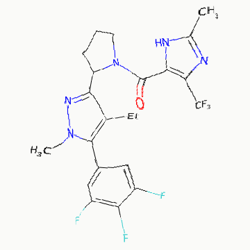 CCc1c(C2CCCN2C(=O)c2[nH]c(C)nc2C(F)(F)F)nn(C)c1-c1cc(F)c(F)c(F)c1